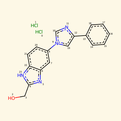 Cl.Cl.OCc1nc2cc(-n3cnc(-c4ccccc4)c3)ccc2[nH]1